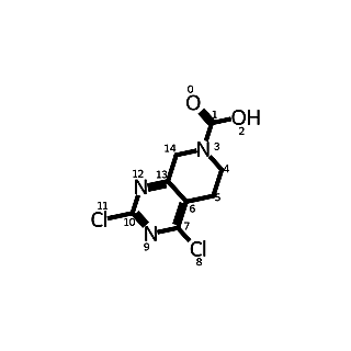 O=C(O)N1CCc2c(Cl)nc(Cl)nc2C1